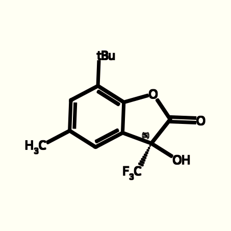 Cc1cc(C(C)(C)C)c2c(c1)[C@@](O)(C(F)(F)F)C(=O)O2